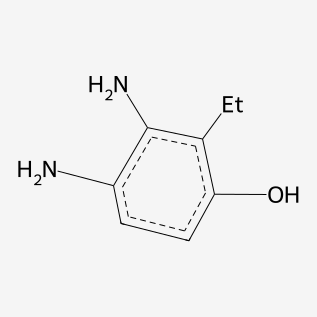 CCc1c(O)ccc(N)c1N